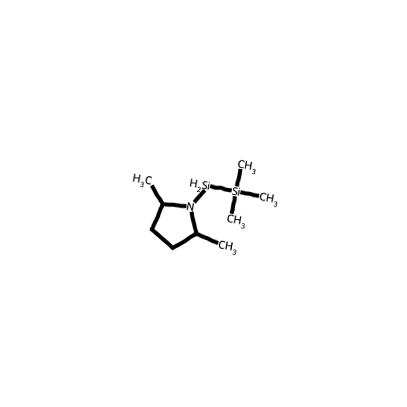 CC1CCC(C)N1[SiH2][Si](C)(C)C